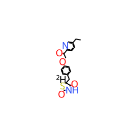 [2H][C@@]1(Cc2ccc(OCC(=O)c3ccc(CC)cn3)cc2)SC(=O)NC1=O